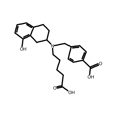 O=C(O)CCCCN(Cc1ccc(C(=O)O)cc1)C1CCc2cccc(O)c2C1